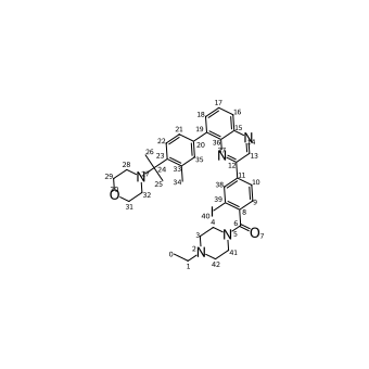 CCN1CCN(C(=O)c2ccc(-c3cnc4cccc(-c5ccc(C(C)(C)N6CCOCC6)c(C)c5)c4n3)cc2I)CC1